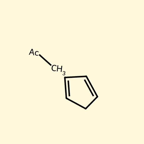 C1=CCC=C1.CC(C)=O